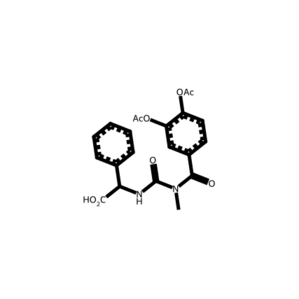 CC(=O)Oc1ccc(C(=O)N(C)C(=O)NC(C(=O)O)c2ccccc2)cc1OC(C)=O